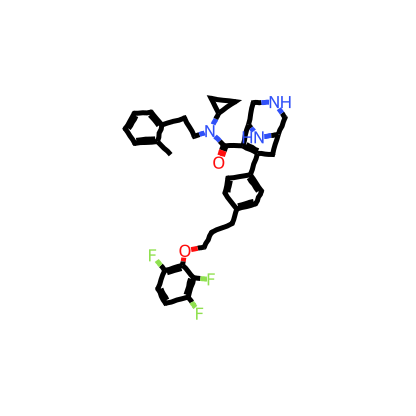 Cc1ccccc1CCN(C(=O)C1=C(c2ccc(CCCOc3c(F)ccc(F)c3F)cc2)CC2CNCC1N2)C1CC1